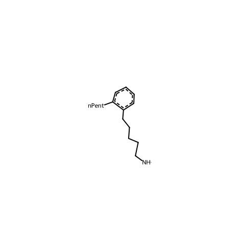 CCCCCc1ccccc1CCCCC[NH]